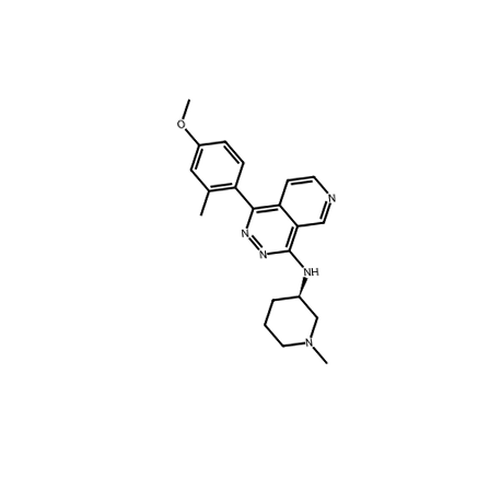 COc1ccc(-c2nnc(N[C@@H]3CCCN(C)C3)c3cnccc23)c(C)c1